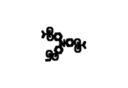 C=CC(=O)Oc1ccc(N(c2ccc(OC(=O)C(=C)C)cc2)c2cccc(OC(=O)C(=C)C)c2)cc1